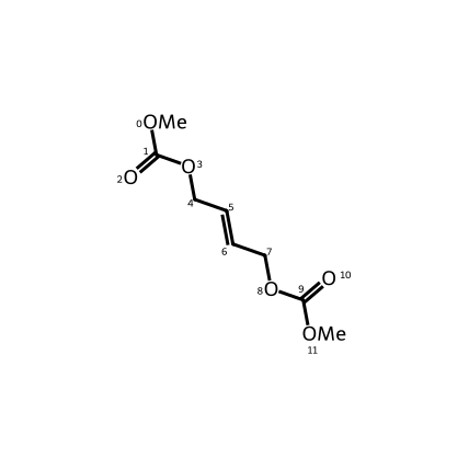 COC(=O)OC/C=C/COC(=O)OC